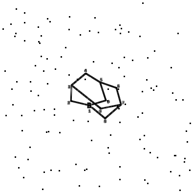 C1B2CC3CC1CC(C2)C3